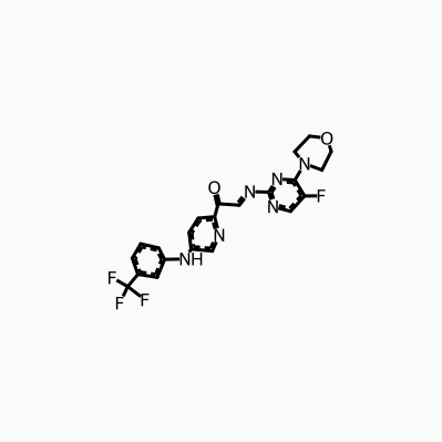 O=C(/C=N/c1ncc(F)c(N2CCOCC2)n1)c1ccc(Nc2cccc(C(F)(F)F)c2)cn1